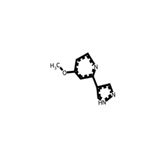 COc1ccnc(-c2cn[nH]c2)c1